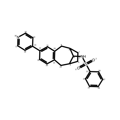 O=S(=O)(NC1C2CCC1Cc1cc(-c3ccncc3)ccc1C2)c1ccccc1